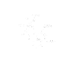 COC(=O)c1cccc(CC(C(=O)CC(C)(C)C)c2ccc(OC)cc2NC(=O)OC(C)(C)C)n1